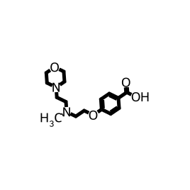 CN(CCOc1ccc(C(=O)O)cc1)CCN1CCOCC1